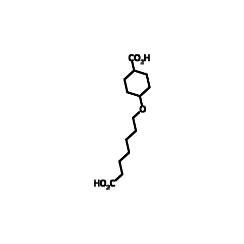 O=C(O)CCCCCCOC1CCC(C(=O)O)CC1